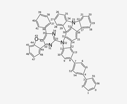 c1ccc(-c2ccc(-c3ccc4c(c3)c3cc5c6ccccc6n6c7ccccc7c(c3n4-c3nc(-c4ccccc4)c4oc7ccccc7c4n3)c56)cc2)cc1